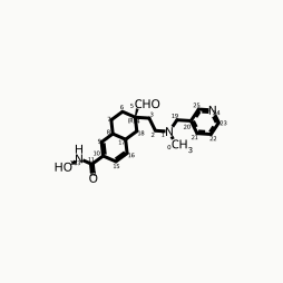 CN(CC[C@@]1(C=O)CCC2C=C(C(=O)NO)C=CC2C1)Cc1cccnc1